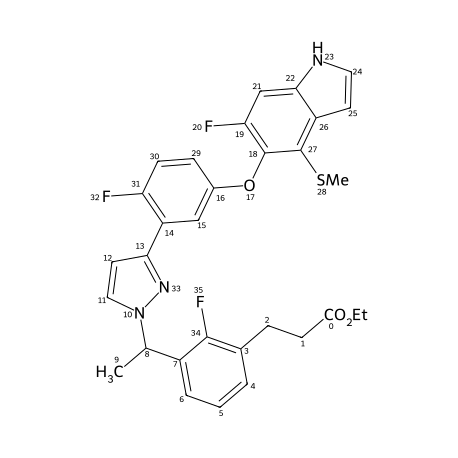 CCOC(=O)CCc1cccc(C(C)n2ccc(-c3cc(Oc4c(F)cc5[nH]ccc5c4SC)ccc3F)n2)c1F